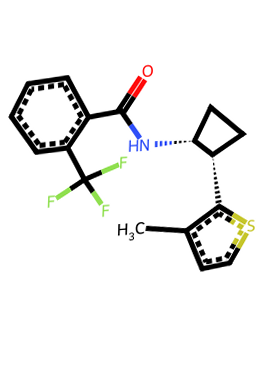 Cc1ccsc1[C@H]1CC[C@H]1NC(=O)c1ccccc1C(F)(F)F